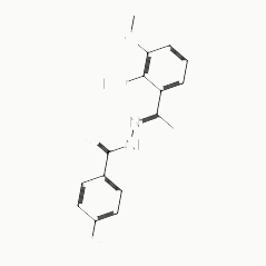 COc1cccc(/C(C)=N/NC(=O)c2ccc(Br)cc2)c1O